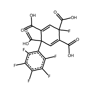 O=C(O)C1=CC(C(=O)O)(c2c(F)c(F)c(F)c(F)c2F)C(C(=O)O)=CC1(F)C(=O)O